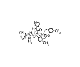 CCCN(N)/C=C(\N)COC(c1ccc(C)c(CN2CCCc3ccc(C(F)(F)F)cc3S2)c1)C(C)(C)C(=O)Nc1cccnc1